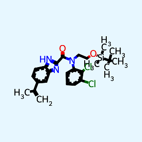 C=C(C)c1ccc2[nH]c(C(=O)N(CCO[Si](C)(C)C(C)(C)C)c3cccc(Cl)c3Cl)nc2c1